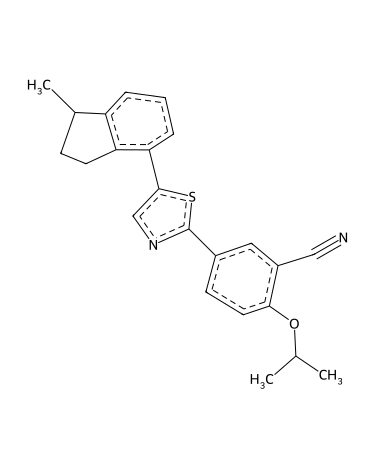 CC(C)Oc1ccc(-c2ncc(-c3cccc4c3CCC4C)s2)cc1C#N